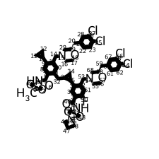 CS(=O)(=O)NC(=O)c1cc(C2CC2)c(CN2CCO[C@@H](Cc3ccc(Cl)c(Cl)c3)C2)cc1CC1CC1c1cc(C(=O)NS(=O)(=O)N2CCC2)c(F)cc1CN1CCO[C@H](Cc2ccc(Cl)c(Cl)c2)C1